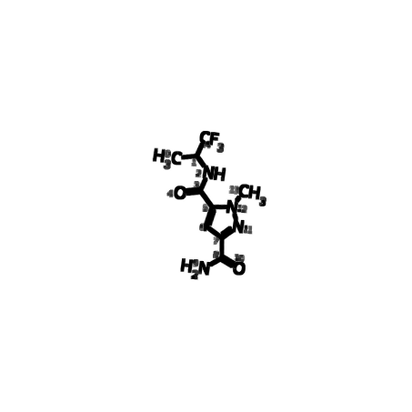 CC(NC(=O)c1[c]c(C(N)=O)nn1C)C(F)(F)F